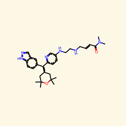 CN(C)C(=O)/C=C/CNCCNc1ccc(C(=C2CC(C)(C)OC(C)(C)C2)c2ccc3[nH]ncc3c2)nc1